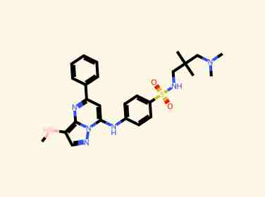 CBc1cnn2c(Nc3ccc(S(=O)(=O)NCC(C)(C)CN(C)C)cc3)cc(-c3ccccc3)nc12